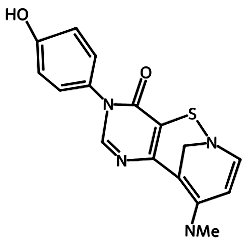 CNC1=C2CN(C=C1)Sc1c2ncn(-c2ccc(O)cc2)c1=O